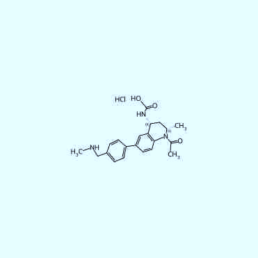 CNCc1ccc(-c2ccc3c(c2)[C@H](NC(=O)O)C[C@H](C)N3C(C)=O)cc1.Cl